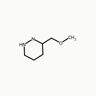 COCC1CCCN[N]1